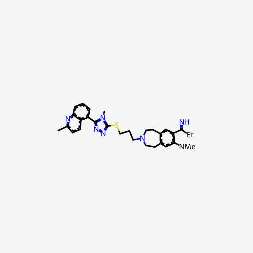 CCC(=N)c1cc2c(cc1NC)CCN(CCCSc1nnc(-c3cccc4nc(C)ccc34)n1C)CC2